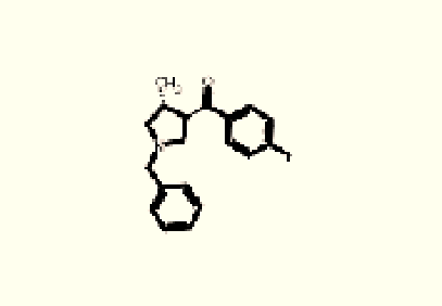 C[C@H]1CN(Cc2ccccc2)C[C@@H]1C(=O)c1ccc(F)cc1